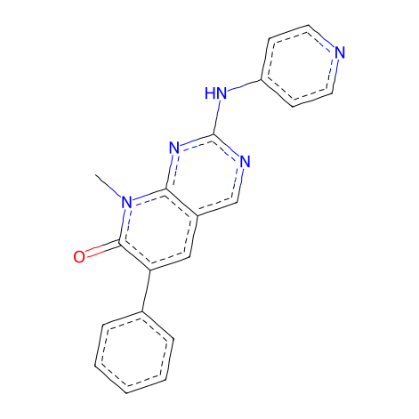 Cn1c(=O)c(-c2ccccc2)cc2cnc(Nc3ccncc3)nc21